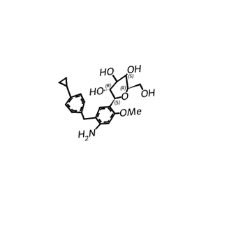 COc1cc(N)c(Cc2ccc(C3CC3)cc2)cc1[C@@H]1O[C@H](CO)[C@@H](O)C(O)[C@H]1O